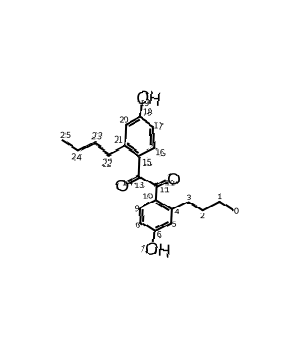 CCCCc1cc(O)ccc1C(=O)C(=O)c1ccc(O)cc1CCCC